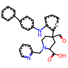 O=CC1(c2ccccc2Nc2ccc(-c3ccccc3)cc2)CCN(Cc2ccccn2)C(C(=O)O)C1